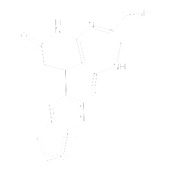 CCCSC1=NC2=C(C(=O)NC1)C(c1ccc3occc3c1)CC(=O)N2